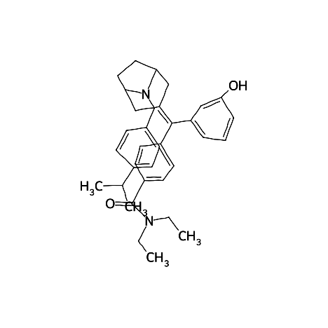 CCN(CC)C(=O)c1ccc(C(=C2CC3CCC(C2)N3Cc2ccc(C(C)C)cc2)c2cccc(O)c2)cc1